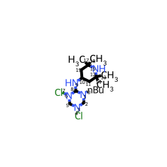 CCCCN1CN(Cl)CN(Cl)C1NC1CC(C)(C)NC(C)(C)C1